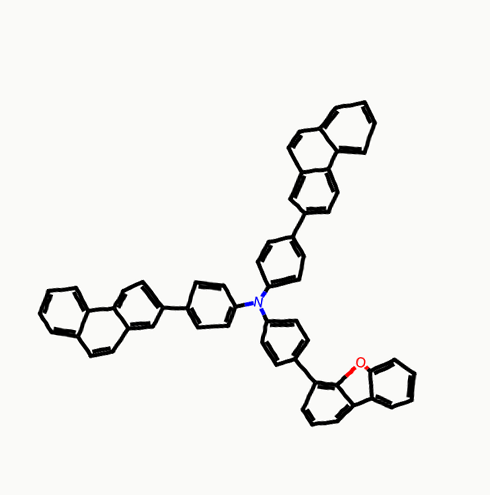 c1ccc2c(c1)ccc1cc(-c3ccc(N(c4ccc(-c5ccc6c(ccc7ccccc76)c5)cc4)c4ccc(-c5cccc6c5oc5ccccc56)cc4)cc3)ccc12